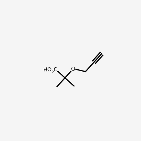 C#CCOC(C)(C)C(=O)O